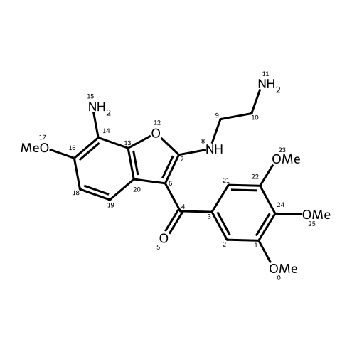 COc1cc(C(=O)c2c(NCCN)oc3c(N)c(OC)ccc23)cc(OC)c1OC